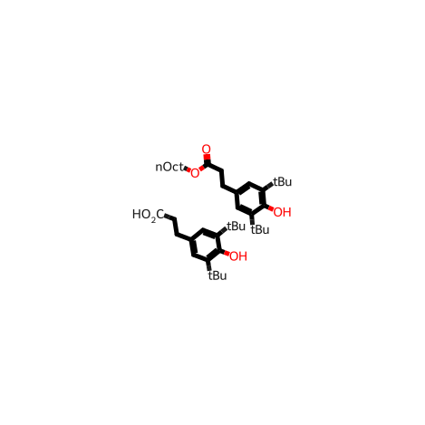 CC(C)(C)c1cc(CCC(=O)O)cc(C(C)(C)C)c1O.CCCCCCCCOC(=O)CCc1cc(C(C)(C)C)c(O)c(C(C)(C)C)c1